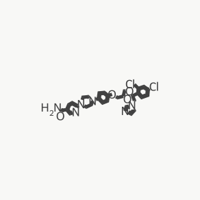 NC(=O)c1ccc(N2CCN(c3ccc(OCC4COC(Cn5ccnc5)(c5ccc(Cl)cc5Cl)O4)cc3)CC2)nc1